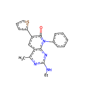 CCNc1nc(C)c2cc(-c3cccs3)c(=O)n(-c3ccccc3)c2n1